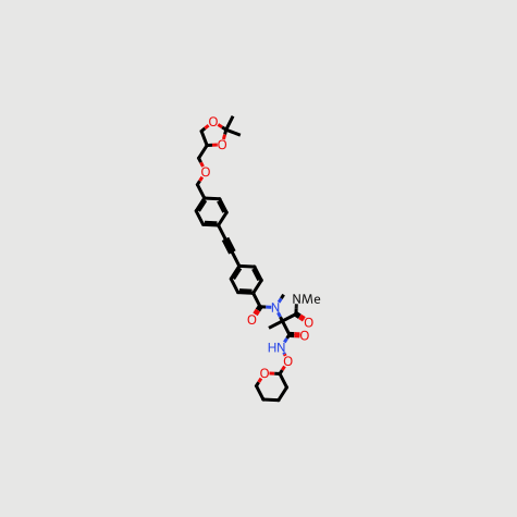 CNC(=O)C(C)(C(=O)NOC1CCCCO1)N(C)C(=O)c1ccc(C#Cc2ccc(COCC3COC(C)(C)O3)cc2)cc1